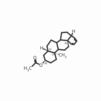 CC(=O)O[C@@H]1CC[C@]2(C)C3CC[C@]45C=CC=C[C@H]4CCC5C3CC[C@H]2C1